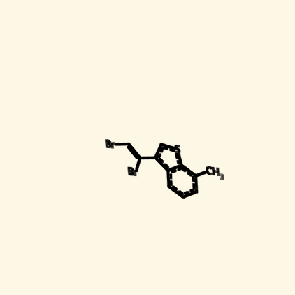 Cc1cccc2c(C(Br)=CBr)csc12